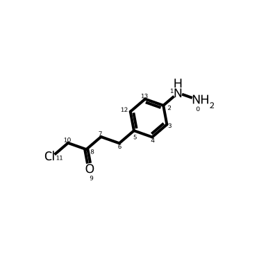 NNc1ccc(CCC(=O)CCl)cc1